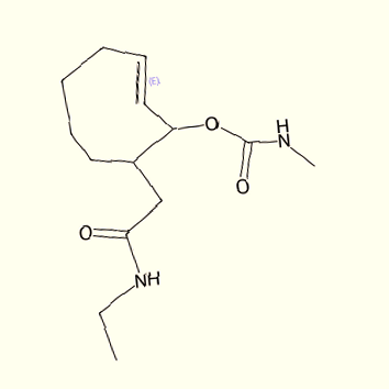 CCNC(=O)CC1CCCC/C=C/C1OC(=O)NC